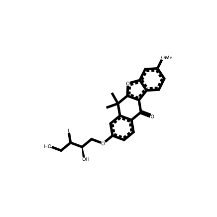 COc1ccc2c3c(oc2c1)C(C)(C)c1cc(OC[C@@H](O)C(I)CO)ccc1C3=O